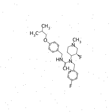 C=C(NCc1ccc(OCC(C)C)cc1)N(Cc1ccc(F)cc1)C1CCN(C)C[C@H]1F